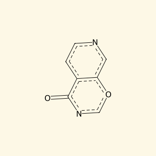 O=c1ncoc2cnccc12